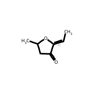 C/C=C1\OC(C)CC1=O